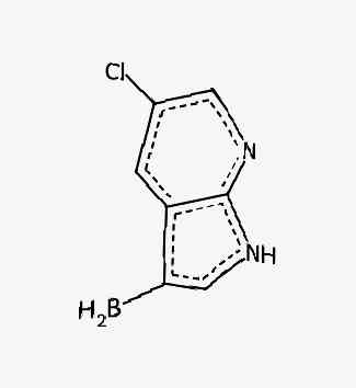 Bc1c[nH]c2ncc(Cl)cc12